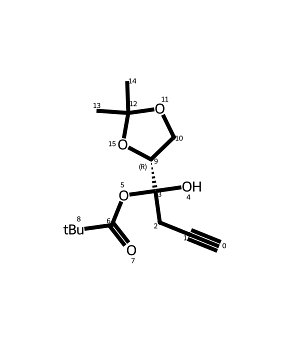 C#CCC(O)(OC(=O)C(C)(C)C)[C@H]1COC(C)(C)O1